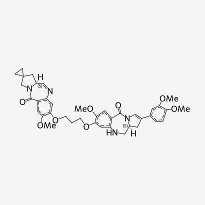 COc1ccc(C2=CN3C(=O)c4cc(OC)c(OCCCOc5cc6c(cc5OC)C(=O)N5CC7(CC7)C[C@H]5C=N6)cc4NC[C@@H]3C2)cc1OC